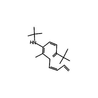 C=C/C=C\C/C(C)=C(\C=C/C(=C)C(C)(C)C)NC(C)(C)C